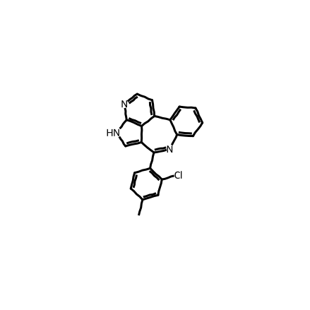 Cc1ccc(C2=Nc3ccccc3-c3ccnc4[nH]cc2c34)c(Cl)c1